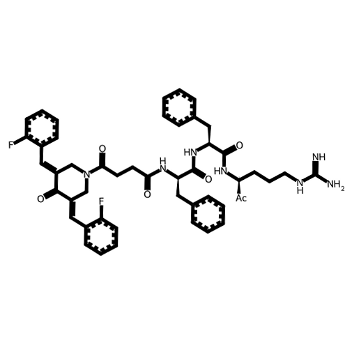 CC(=O)[C@H](CCCNC(=N)N)NC(=O)[C@H](Cc1ccccc1)NC(=O)[C@@H](Cc1ccccc1)NC(=O)CCC(=O)N1C/C(=C\c2ccccc2F)C(=O)/C(=C/c2ccccc2F)C1